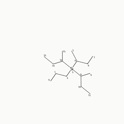 CCC[Si](C(C)CC)(C(C)CC)C(C)CC